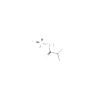 CC(C)C(=O)NS(=O)(=O)I